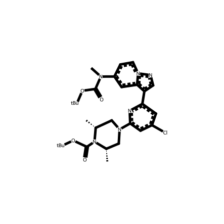 C[C@@H]1CN(c2cc(Cl)cc(-c3cnn4ccc(N(C)C(=O)OC(C)(C)C)cc34)n2)C[C@H](C)N1C(=O)OC(C)(C)C